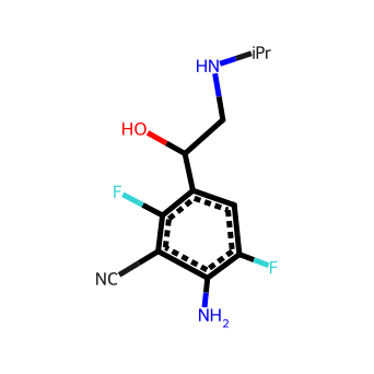 CC(C)NCC(O)c1cc(F)c(N)c(C#N)c1F